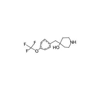 OC1(Cc2ccc(OC(F)(F)F)cc2)CCNCC1